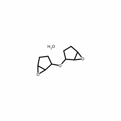 C1CC2OC2C1OC1CCC2OC12.O